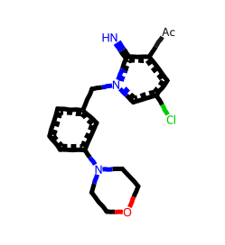 CC(=O)c1cc(Cl)cn(Cc2cccc(N3CCOCC3)c2)c1=N